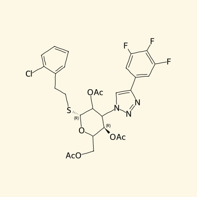 CC(=O)OCC1O[C@H](SCCc2ccccc2Cl)C(OC(C)=O)C(n2cc(-c3cc(F)c(F)c(F)c3)nn2)[C@H]1OC(C)=O